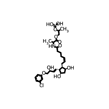 CC(COC(=O)C(C)NC(=O)CCC/C=C\C[C@@H]1[C@@H](/C=C/[C@@H](O)COc2cccc(Cl)c2)[C@H](O)C[C@@H]1O)ON(O)O